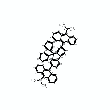 CN(C)c1c2ccccc2c(-c2ccc3c(c2)C(c2ccccc2)(c2ccccc2)c2cc(-c4c5ccccc5c(N(C)C)c5ccccc45)ccc2-3)c2ccccc12